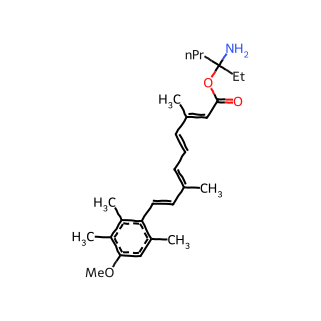 CCCC(N)(CC)OC(=O)C=C(C)C=CC=C(C)C=Cc1c(C)cc(OC)c(C)c1C